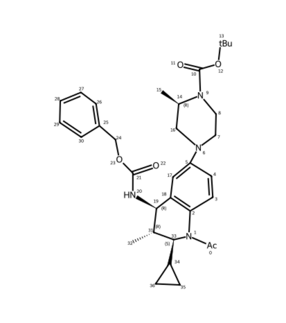 CC(=O)N1c2ccc(N3CCN(C(=O)OC(C)(C)C)[C@H](C)C3)cc2[C@H](NC(=O)OCc2ccccc2)[C@@H](C)[C@@H]1C1CC1